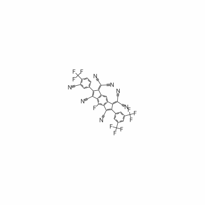 N#CC(C#N)=C1C(c2cc(C(F)(F)F)cc(C(F)(F)F)c2)=C(C#N)c2c1cc1c(c2F)C(C#N)=C(c2ccc(C(F)(F)F)c(C#N)c2)C1=C(C#N)C#N